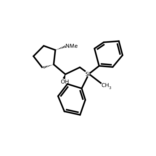 CN[C@H]1CCC[C@H]1[C@H](O)C[Si](C)(c1ccccc1)c1ccccc1